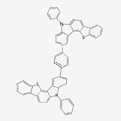 c1ccc(-n2c3ccc(-c4ccc(-c5ccc6c(c5)c5c7sc8ccccc8c7ccc5n6-c5ccccc5)cc4)cc3c3c4sc5ccccc5c4ccc32)cc1